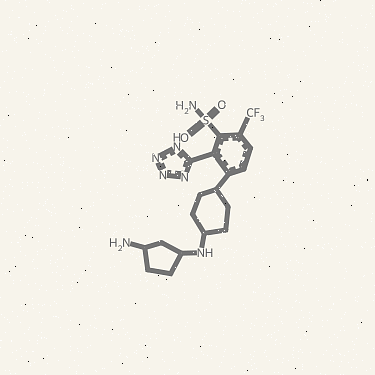 NC1CCC(NC2CCC(c3ccc(C(F)(F)F)c(S(N)(=O)=O)c3-c3nnn[nH]3)CC2)C1